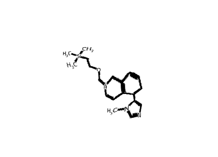 Cn1cncc1-c1cccc2c1C=CN(COCC[Si](C)(C)C)C2